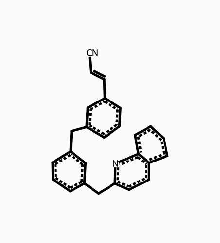 N#C/C=C/c1cccc(Cc2cccc(Cc3ccc4ccccc4n3)c2)c1